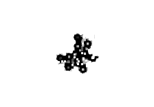 C=C/C=C\c1oc2c(cc(N(c3ccccc3C)c3cccc4c3oc3c(C(C)(C)C)cccc34)c3c4cccc5c6c(N(c7ccccc7C)c7cccc8c7oc7c(C(C)(C)C)cccc78)cc7c8ccccc8oc7c6n(c45)c23)c1C